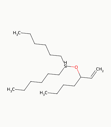 C=CC(CCCC)O[SiH](CCCCCC)CCCCCC